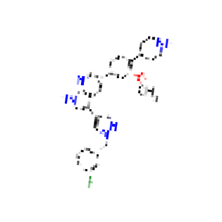 COc1cc(-c2cnc3[nH]cc(-c4cnn(Cc5cccc(F)c5)c4)c3c2)ccc1C1CCNCC1